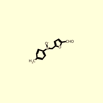 Cc1ccc([S+]([O-])Cc2ccc(C=O)o2)cc1